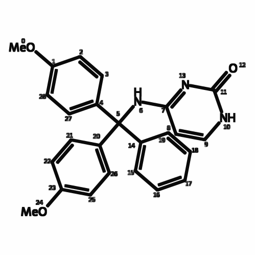 COc1ccc(C(Nc2cc[nH]c(=O)n2)(c2ccccc2)c2ccc(OC)cc2)cc1